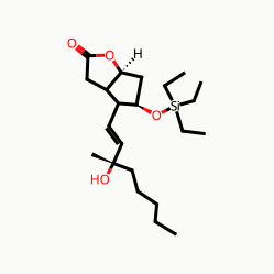 CCCCC[C@](C)(O)/C=C/C1C2CC(=O)O[C@H]2C[C@H]1O[Si](CC)(CC)CC